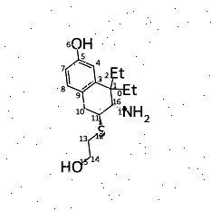 CCC1(CC)c2cc(O)ccc2C[C@H](SCCO)[C@H]1N